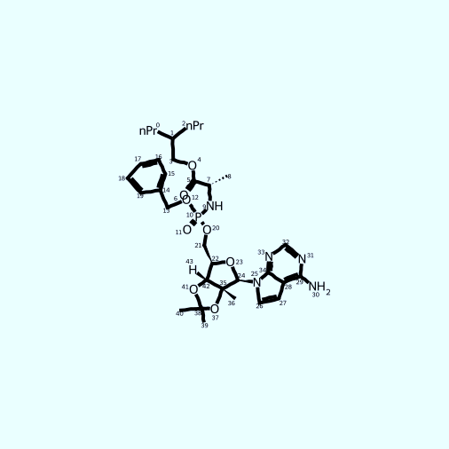 CCCC(CCC)COC(=O)[C@H](C)NP(=O)(OCc1ccccc1)OC[C@H]1O[C@@H](n2ccc3c(N)ncnc32)[C@]2(C)OC(C)(C)O[C@H]12